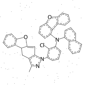 Cc1nn(-c2cccc(N(c3cccc4ccccc34)c3cccc4oc5ccccc5c34)c2Cl)c2c1CC1C(=C2)Oc2ccccc21